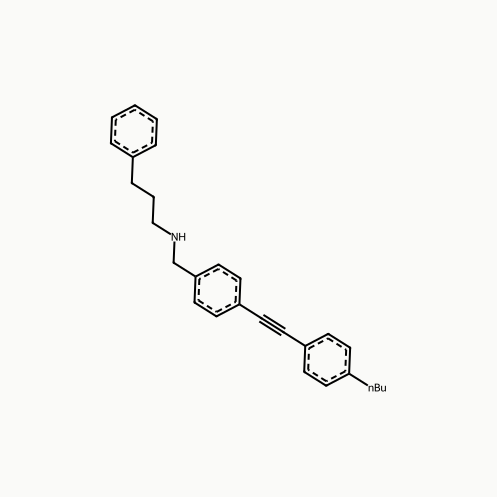 CCCCc1ccc(C#Cc2ccc(CNCCCc3ccccc3)cc2)cc1